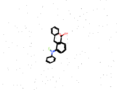 O=C(O)c1cccc(N(F)c2ccccc2)c1Cc1ccccc1